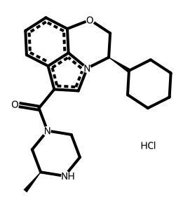 C[C@H]1CN(C(=O)c2cn3c4c(cccc24)OC[C@H]3C2CCCCC2)CCN1.Cl